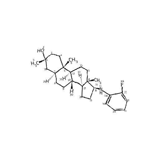 C[C@@]1(O)CC[C@@]2(C)[C@@H](CC[C@@H]3[C@@H]2CC[C@]2(C)[C@@H](Nc4ccccc4F)CC[C@@H]32)C1